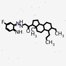 CCCC1C(CC)CCC2C1CCC1(C)C(C(=O)CN/N=C3/C=C(F)C=CC3=N)CCC21